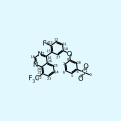 CS(=O)(=O)c1cccc(Oc2ccc(F)c(-c3ncnc4c(C(F)(F)F)cccc34)c2)c1